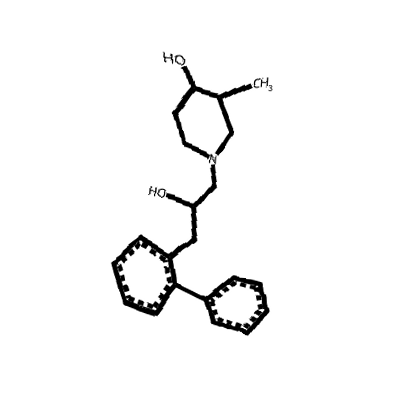 CC1CN(CC(O)Cc2ccccc2-c2ccccc2)CCC1O